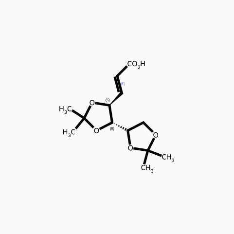 CC1(C)OCC([C@@H]2OC(C)(C)O[C@H]2/C=C/C(=O)O)O1